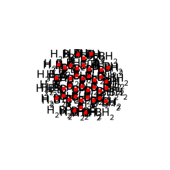 BB(B)B(B)B(B(B(B)B)B(B)B)B(B(B(B(B)B)B(B)B)B(B(B)B)B(B)B)B(B(B(B(B(B)B)B(B)B)B(B(B)B)B(B)B)B(B(B(B)B)B(B)B)B(B(B)B)B(B)B)B(B(B(B(B(B)B)B(B)B)B(B(B)B)B(B)B)B(B(B(B)B)B(B)B)B(B(B)B)B(B)B)B(B(B(B(B)B)B(B)B)B(B(B)B)B(B)B)B(B(B(B)B)B(B)B)B(B(B)B)B(B)B